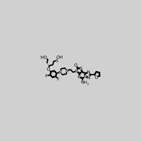 Nc1nc2c(sc(=O)n2CCN2CCN(c3cc(O[C@H](CCO)CCSO)c(F)cc3F)CC2)c2nc(-c3ccco3)nn12